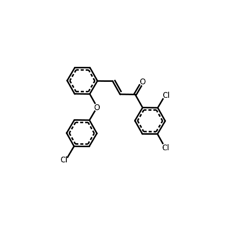 O=C(C=Cc1ccccc1Oc1ccc(Cl)cc1)c1ccc(Cl)cc1Cl